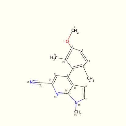 COc1ccc(C)c(-c2cc(C#N)nc3c2ccn3C)c1C